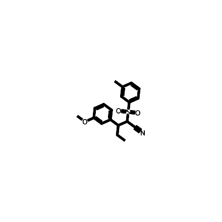 CCC(c1cccc(OC)c1)C(C#N)S(=O)(=O)c1cccc(C)c1